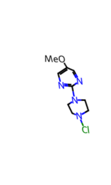 COc1cnc(N2CCN(Cl)CC2)nc1